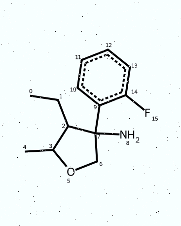 CCC1C(C)OCC1(N)c1ccccc1F